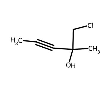 CC#CC(C)(O)CCl